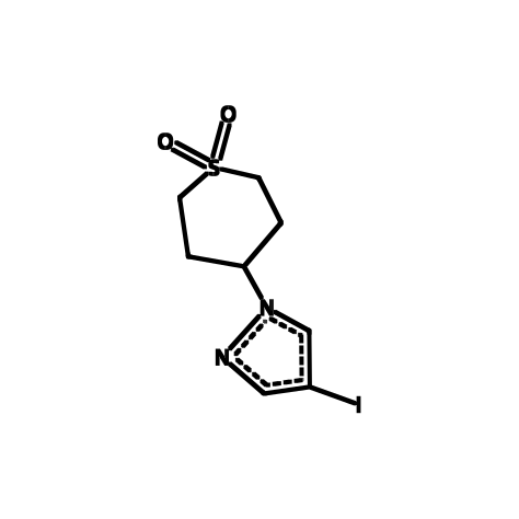 O=S1(=O)CCC(n2cc(I)cn2)CC1